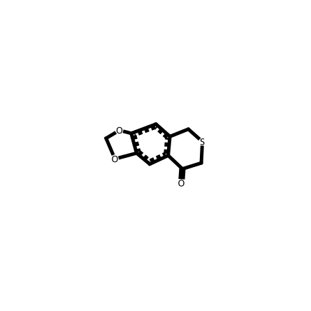 O=C1CSCc2cc3c(cc21)OCO3